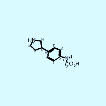 O=C(O)Nc1ccc(C2CCNC2)cc1